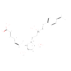 C=C(/C=C\C=C/C)CC[C@H](O)CC[C@@H]1[C@@H](C/C=C\CCCC(=O)O)[C@@H](O)C[C@H]1O